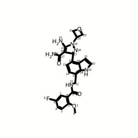 COc1ccc(F)cc1C(=O)NCc1ccc(-c2nn(C3COC3)c(N)c2C(N)=O)c2cc[nH]c12